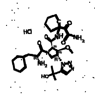 CO[C@@H]1[C@@H](C(=O)NC2(C(=O)C(N)=O)CCCCC2)N(C(=O)[C@H](N)CC2CCCCC2)C[C@H]1n1nncc1C(C)(C)O.Cl